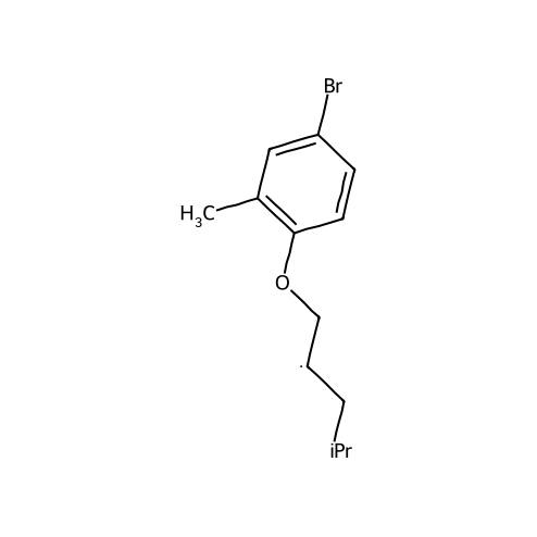 Cc1cc(Br)ccc1OC[CH]CC(C)C